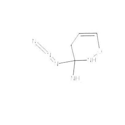 [N-]=[N+]=NC1(N)CC=CON1